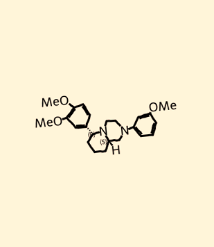 COc1cccc(N2CCN3[C@@H](CCC[C@@H]3c3ccc(OC)c(OC)c3)C2)c1